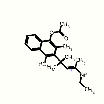 CCN/C(C)=C/C(C)(C)c1c(C)c(OC(C)=O)c2ccccc2c1O